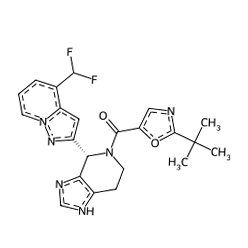 CC(C)(C)c1ncc(C(=O)N2CCc3[nH]cnc3[C@@H]2c2cc3c(C(F)F)cccn3n2)o1